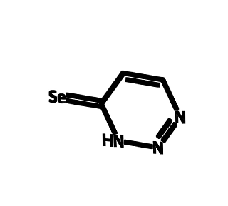 [Se]=c1ccnn[nH]1